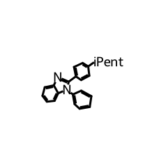 CCCC(C)c1ccc(-c2nc3ccccc3n2-c2ccccc2)cc1